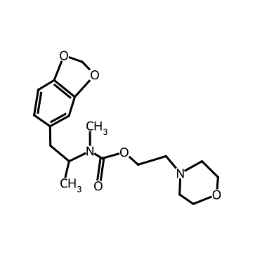 CC(Cc1ccc2c(c1)OCO2)N(C)C(=O)OCCN1CCOCC1